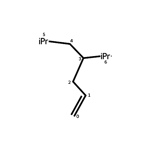 C=CCC(CC(C)C)[C](C)C